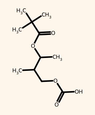 CC(COC(=O)O)C(C)OC(=O)C(C)(C)C